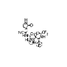 N#C[C@H](C[C@@H]1CCNC1=O)NC(=O)[C@@H]1[C@H]2CC[C@H](C2)N1C(=O)[C@@H](NC(=O)C(F)(F)F)C12CCC(CC1)CC2